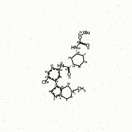 CN1CCn2ncc(-c3cc(NC(=O)[C@H]4CCC[C@@H](NC(=O)OC(C)(C)C)C4)ncc3Cl)c2C1